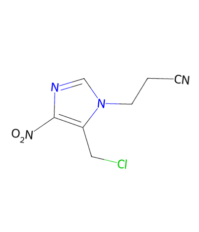 N#CCCn1cnc([N+](=O)[O-])c1CCl